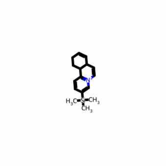 C[Si](C)(C)c1ccc2[n+](c1)C=CC1C=CCCC21